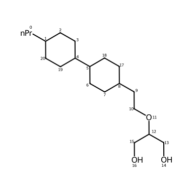 CCCC1CCC(C2CCC(CCOC(CO)CO)CC2)CC1